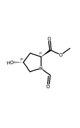 COC(=O)[C@@H]1C[C@@H](O)CN1C=O